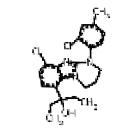 CCC(O)(CC)c1ccc(Cl)c2nc3n(c12)CCCN3c1ccc(C)cc1Cl